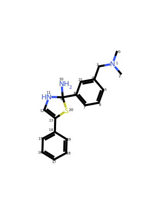 CN(C)Cc1cccc(C2(N)NC=C(c3ccccc3)S2)c1